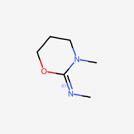 C/N=C1/OCCCN1C